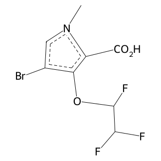 Cn1cc(Br)c(OC(F)C(F)F)c1C(=O)O